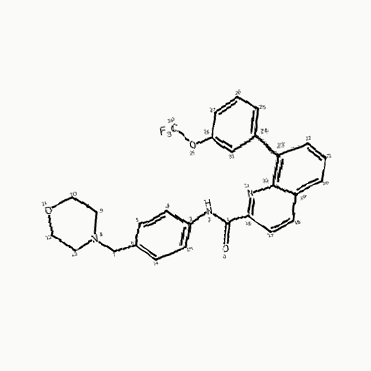 O=C(Nc1ccc(CN2CCOCC2)cc1)c1ccc2cccc(-c3cccc(OC(F)(F)F)c3)c2n1